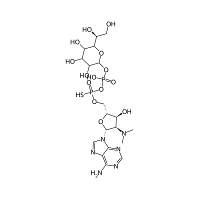 CN(C)[C@@H]1[C@H](O)[C@@H](COP(=O)(S)OP(=O)(O)OC2OC([C@@H](O)CO)C(O)C(O)C2O)O[C@H]1n1cnc2c(N)ncnc21